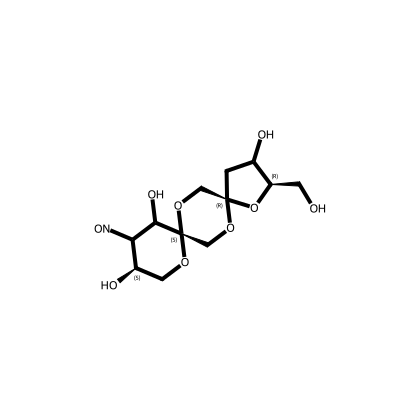 O=NC1C(O)[C@@]2(CO[C@]3(CO2)CC(O)[C@@H](CO)O3)OC[C@H]1O